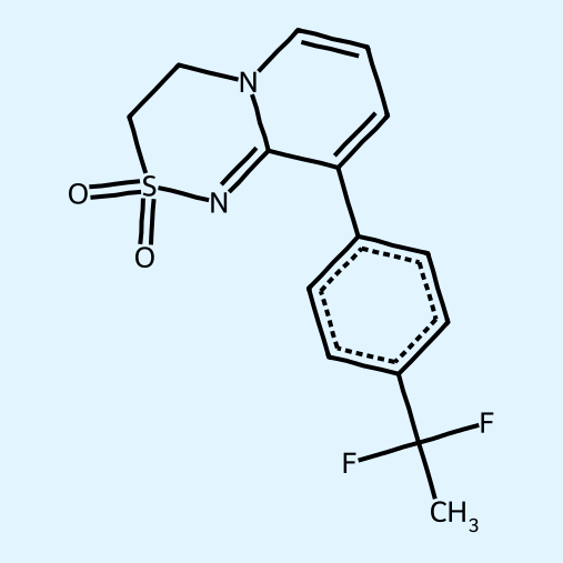 CC(F)(F)c1ccc(C2=CC=CN3CCS(=O)(=O)N=C23)cc1